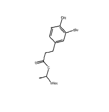 CCCCCCC(C)OC(=O)CCc1c[c]c(O)c(C(C)(C)C)c1